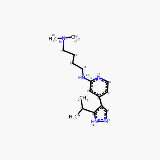 CC(C)c1[nH]ncc1-c1ccnc(NCCCCN(C)C)c1